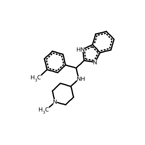 Cc1cccc(C(NC2CCN(C)CC2)c2nc3ccccc3[nH]2)c1